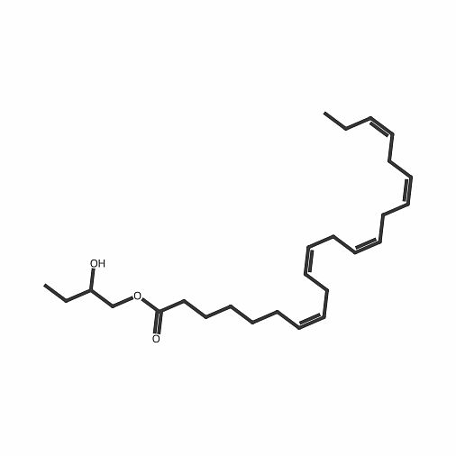 CC/C=C\C/C=C\C/C=C\C/C=C\C/C=C\CCCCCC(=O)OCC(O)CC